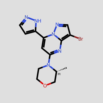 C[C@@H]1COCCN1c1cc(-c2ccn[nH]2)n2ncc(Br)c2n1